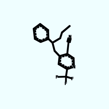 CCCC(Cc1cc(C(F)(F)F)ncc1C#N)c1ccccc1